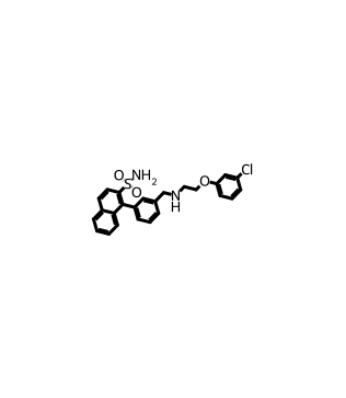 NS(=O)(=O)c1ccc2ccccc2c1-c1cccc(CNCCOc2cccc(Cl)c2)c1